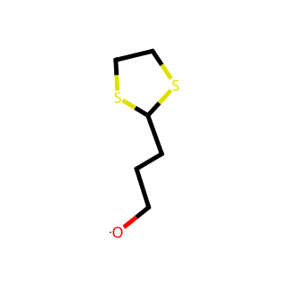 [O]CCCC1SCCS1